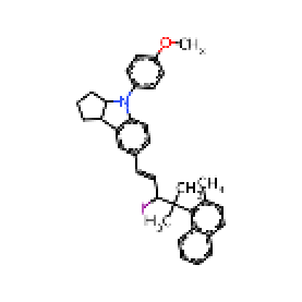 COc1ccc(N2c3ccc(/C=C/C(I)C(C)(C)c4c(C)ccc5ccccc45)cc3C3CCCC32)cc1